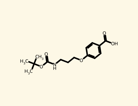 CC(C)(C)OC(=O)NCCCOc1ccc(C(=O)O)cc1